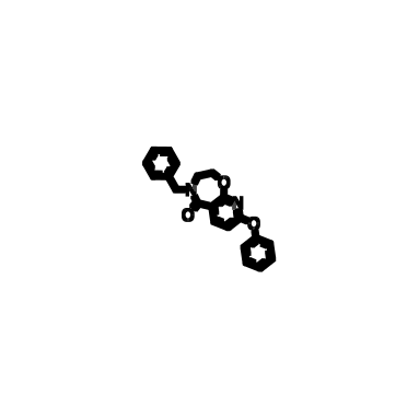 O=C1c2ccc(Oc3ccccc3)nc2OCCN1Cc1ccccc1